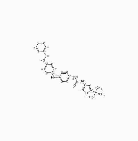 CC(C)(C)c1cc(NC(=O)Nc2ccc(Nc3ccc(OCc4ccccc4)cc3)cc2)no1